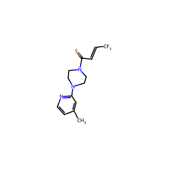 Cc1ccnc(N2CCN(C(=S)/C=C/C(F)(F)F)CC2)c1